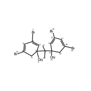 CC(C)(C1(O)C=C(Br)C=C(Br)C1)C1(O)C=C(Br)C=C(Br)C1